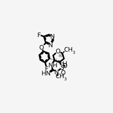 C[C@H]1C[C@@H]2[C@](c3cc(Oc4ncncc4F)ccc3F)(CO1)NC(=N)N(C)S2(=O)=O